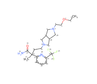 CCOCCN1CC2CN(CCC(C)(C(N)=O)c3cccc(C(F)(F)F)n3)CC2C1